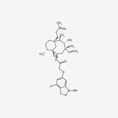 C=C[C@]1(C)C[C@@H](OC(=O)COc2cc(F)c3c(c2)B(O)OC3)[C@@]2(C)C[C@](CCC(C)=O)(CC[C@H]2C)[C@@H](C)[C@@H]1O